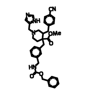 COC(=O)C1(Cc2cccc(CNC(=O)OCc3ccccc3)c2)CCN(Cc2cnc[nH]2)CC1Cc1ccc(C#N)cc1